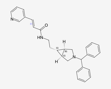 O=C(/C=C/c1cccnc1)NCC[C@@H]1[C@H]2CN(C(c3ccccc3)c3ccccc3)C[C@@H]12